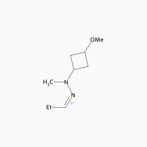 CC/C=N\N(C)C1CC(OC)C1